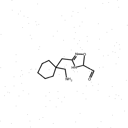 NCC1(CC2=NOC(C=O)N2)CCCCC1